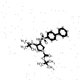 CC(C)(C)OC(=O)N1CC(NS(=O)(=O)c2ccc(-c3ccccc3)cc2)C(SC(C)(C)C)C1